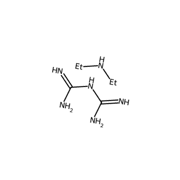 CCNCC.N=C(N)NC(=N)N